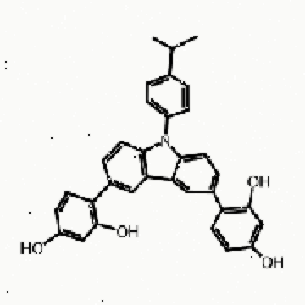 CC(C)c1ccc(-n2c3ccc(-c4ccc(O)cc4O)cc3c3cc(-c4ccc(O)cc4O)ccc32)cc1